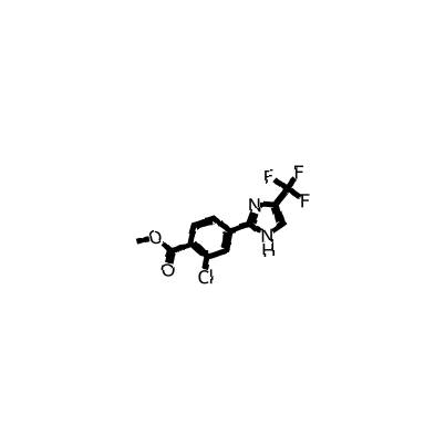 COC(=O)c1ccc(-c2nc(C(F)(F)F)c[nH]2)cc1Cl